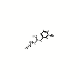 [N-]=[N+]=NCC(O)Cc1cccc(Br)c1